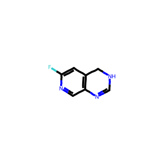 Fc1cc2c(cn1)N=CNC2